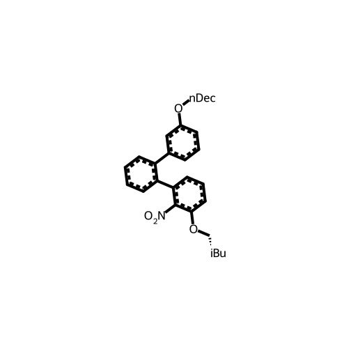 CCCCCCCCCCOc1cccc(-c2ccccc2-c2cccc(OC[C@@H](C)CC)c2[N+](=O)[O-])c1